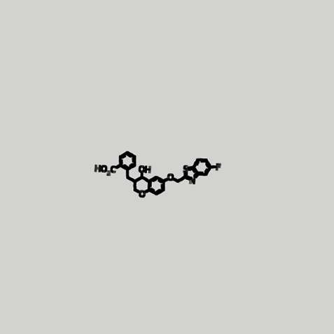 O=C(O)c1ccccc1CC1COc2ccc(OCc3nc4cc(F)ccc4s3)cc2C1O